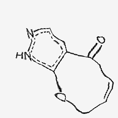 O=C1C=CCOc2[nH]ncc21